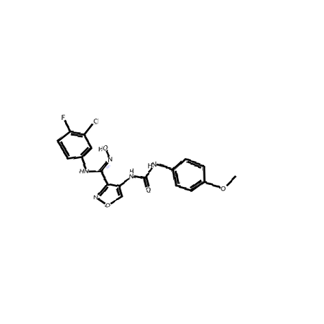 COc1ccc(NC(=O)Nc2conc2/C(=N/O)Nc2ccc(F)c(Cl)c2)cc1